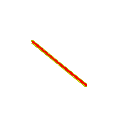 S=S=S=S=S=S=S=S=S=S=S=S=S=S=S=S=S=S=S=S=S=S=S=S=S=S=S=S=S=S=S=S=S=S=S=S=S=S=S=S=S=S=S=S=S=S=S=S=S=S=S=S=S=S=S=S=S=S=S=S=S=S=S=S=S=S=S=S=S=S=S=S=S=S=S=S=S=S=S=S=S=S=S=S=S=S=S=S=S=S=S=S=S=S=S=S=S=S=S=S=S=S=S=S=S=S=S=S=S=S